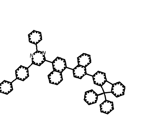 c1ccc(-c2ccc(-c3cc(-c4ccc(-c5ccc(-c6ccc7c(c6)C(c6ccccc6)(c6ccccc6)c6ccccc6-7)c6ccccc56)c5ccccc45)nc(-c4ccccc4)n3)cc2)cc1